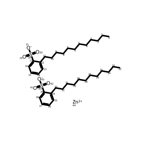 CCCCCCCCCCCCc1ccccc1S(=O)(=O)[O-].CCCCCCCCCCCCc1ccccc1S(=O)(=O)[O-].[Zn+2]